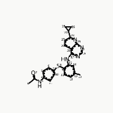 CC(=O)Nc1ccc(Sc2ccc(C)cc2Nc2ncnc3nc(C4CC4)ccc23)cc1